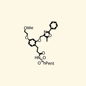 CCCCCS(=O)(=O)NC(=O)CCc1ccc(OCCOC)cc1OCc1nc(-c2ccccc2)oc1C